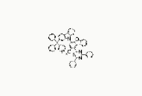 Cc1cc(-n2c3ccccc3c3ccc4c(c32)-c2ccccc2C42c3ccccc3-c3ccccc32)c2oc3ccccc3c2c1-c1nc(-c2ccccc2)nc(-c2ccccc2)n1